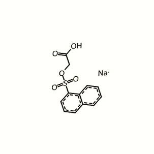 O=C(O)COS(=O)(=O)c1cccc2ccccc12.[Na]